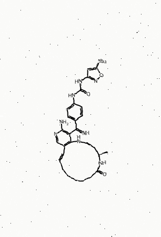 C[C@@H]1CCNc2c(cnc(N)c2C(=N)c2ccc(NC(=O)Nc3cc(C(C)(C)C)on3)cc2)/C=C/CCCCCC(=O)N1